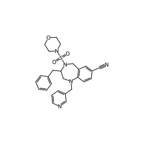 N#Cc1ccc2c(c1)CN(S(=O)(=O)N1CCOCC1)C(Cc1ccccc1)CN2Cc1cccnc1